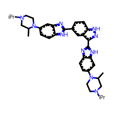 CC(C)N1CCN(c2ccc3[nH]c(-c4ccc5[nH]nc(-c6nc7ccc(N8CCN(C(C)C)CC8C)cc7[nH]6)c5c4)nc3c2)C(C)C1